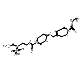 CCCCS(=O)(=O)N(CCNC(=O)N1CCC(OCC2CCN(C(=O)OC(C)(C)C)CC2)CC1)CC(=O)OCC